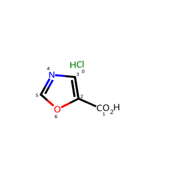 Cl.O=C(O)c1cnco1